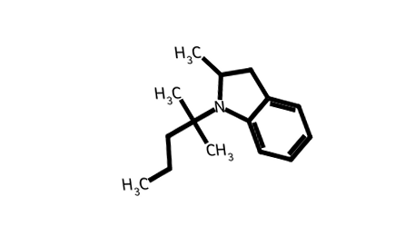 CCCC(C)(C)N1c2ccccc2CC1C